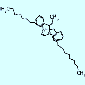 CCCCCCCCCCCCN1C=CN(CCCCCCCCCC)C1(Cc1ccccc1)C(CC)c1ccccc1